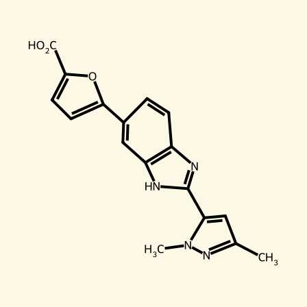 Cc1cc(-c2nc3ccc(-c4ccc(C(=O)O)o4)cc3[nH]2)n(C)n1